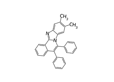 Cc1cc2nc3c4ccccc4c(-c4ccccc4)c(-c4ccccc4)n3c2cc1C